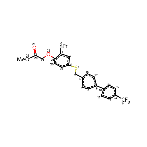 CCCc1cc(SCc2ccc(-c3ccc(C(F)(F)F)cc3)cc2)ccc1OCC(=O)OC